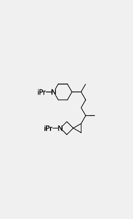 CC(CCC(C)C1CC12CN(C(C)C)C2)C1CCN(C(C)C)CC1